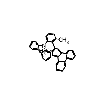 Cc1cc2c3ccccc3c3ccccc3c2cc1-c1c(C)cccc1-n1c2ccccc2c2ccccc21